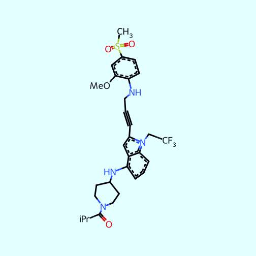 COc1cc(S(C)(=O)=O)ccc1NCC#Cc1cc2c(NC3CCN(C(=O)C(C)C)CC3)cccc2n1CC(F)(F)F